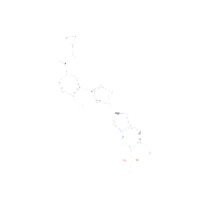 CCS(=O)(=O)c1cn2cc(-n3cc(-c4cc(C(=O)NC5CC5)ccc4C)cn3)nc2cc1OC